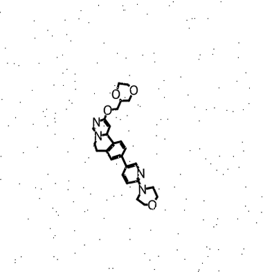 C1=NC(OCC2COCCO2)=CC2c3ccc(-c4ccc(N5CCOCC5)nc4)cc3CCN12